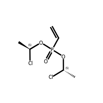 C=CP(=O)(O[C@H](C)Cl)O[C@H](C)Cl